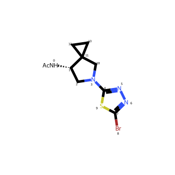 CC(=O)N[C@H]1CN(c2nnc(Br)s2)CC12CC2